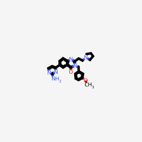 COc1cccc(Cn2c(CCN3CCCC3)nc3ccc(-c4ccnc(N)n4)cc3c2=O)c1